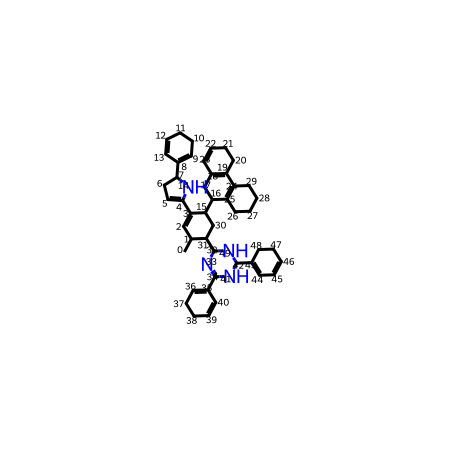 CC1C=C(C2=CCC(C3=CCCC=C3)N2)C(C2CC3=C(CCC=C3)C3=C2CCCC3)CC1C1N=C(C2=CCCC=C2)NC(C2=CC=CCC2)N1